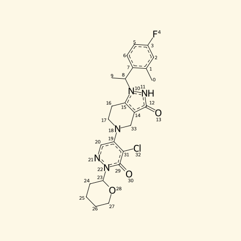 Cc1cc(F)ccc1C(C)n1[nH]c(=O)c2c1CCN(c1cnn(C3CCCCO3)c(=O)c1Cl)C2